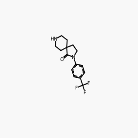 O=C1N(c2ccc(C(F)(F)F)cc2)CCC12CCNCC2